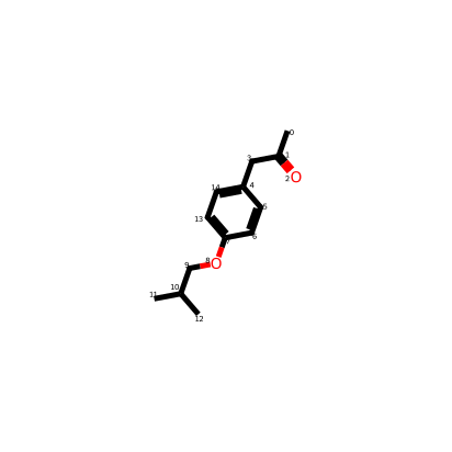 CC(=O)Cc1ccc(OCC(C)C)cc1